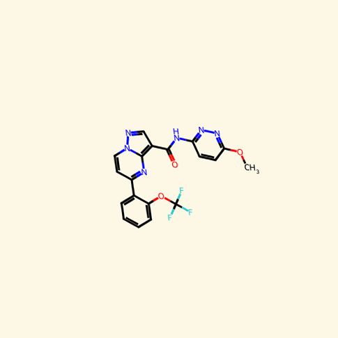 COc1ccc(NC(=O)c2cnn3ccc(-c4ccccc4OC(F)(F)F)nc23)nn1